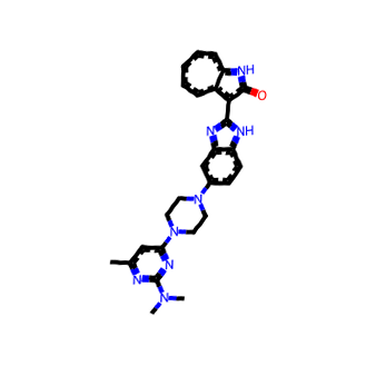 Cc1cc(N2CCN(c3ccc4[nH]c(-c5c6cccccc-6[nH]c5=O)nc4c3)CC2)nc(N(C)C)n1